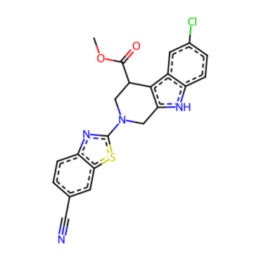 COC(=O)C1CN(c2nc3ccc(C#N)cc3s2)Cc2[nH]c3ccc(Cl)cc3c21